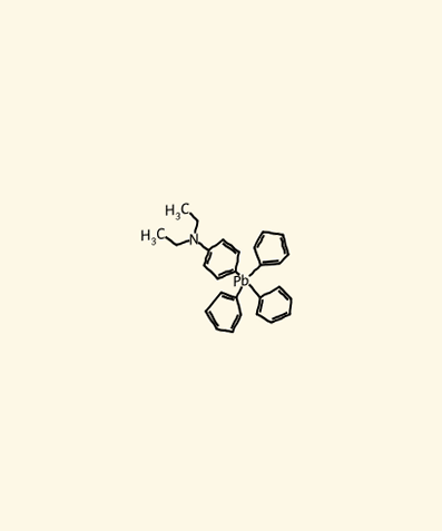 CCN(CC)c1cc[c]([Pb]([c]2ccccc2)([c]2ccccc2)[c]2ccccc2)cc1